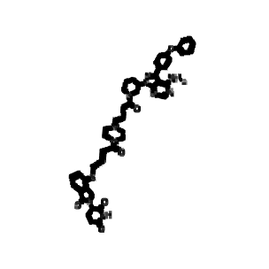 Nc1ncnc2c1c(-c1ccc(Oc3ccccc3)cc1)nn2C1CCCN(C(=O)CCCN2CCN(C(=O)CCCSc3cccc4c3CN(C3CCC(=O)NC3=O)C4=O)CC2)C1